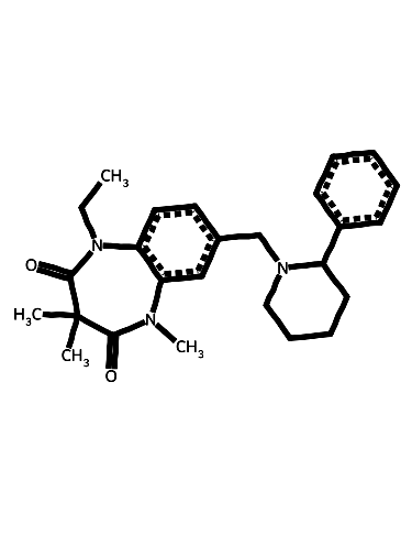 CCN1C(=O)C(C)(C)C(=O)N(C)c2cc(CN3CCCCC3c3ccccc3)ccc21